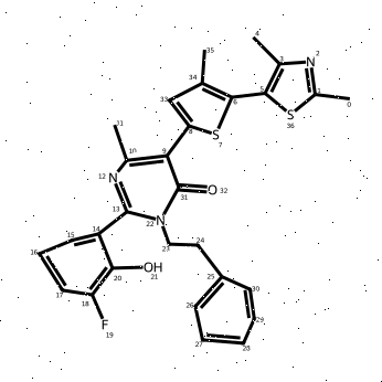 Cc1nc(C)c(-c2sc(-c3c(C)nc(-c4cccc(F)c4O)n(CCc4ccccc4)c3=O)cc2C)s1